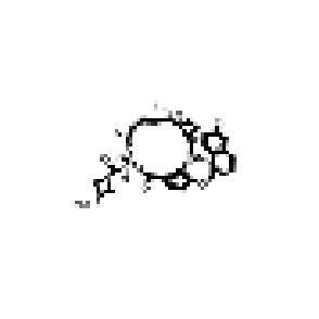 COC1CN(C(=O)NS2(=O)=NC(=O)c3ccc4c(c3)N(C[C@@H]3CC[C@H]3[C@@H](O)/C=C/C[C@H](C)C2)C[C@@]2(CCCc3cc(Cl)ccc32)CO4)C1